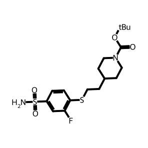 CC(C)(C)OC(=O)N1CCC(CCSc2ccc(S(N)(=O)=O)cc2F)CC1